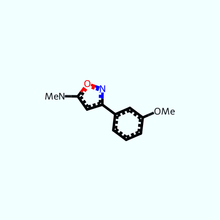 CNc1cc(-c2cccc(OC)c2)no1